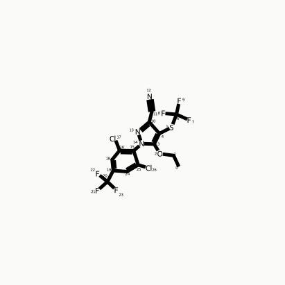 CCOc1c(SC(F)(F)F)c(C#N)nn1-c1c(Cl)cc(C(F)(F)F)cc1Cl